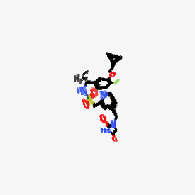 C[C@@H](NS(=O)(=O)Cc1cc(CN2CC(=O)NC2=O)ccn1)c1ccc(F)c(OCC2CC2)c1